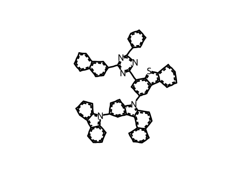 c1ccc(-c2nc(-c3ccc4ccccc4c3)nc(-c3cc(-n4c5ccc(-n6c7ccccc7c7ccccc76)cc5c5c6ccccc6ccc54)cc4c3sc3ccccc34)n2)cc1